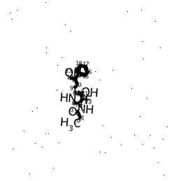 CCC(=O)N[C@H]1CN[C@H](CCC(CO)c2ccccc2)[C@@H](O)[C@H]1F